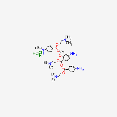 CCCCNc1ccc(C(=O)OCCN(C)C)cc1.CCCOc1cc(N)ccc1C(=O)OCCN(CC)CC.CCN(CC)CCOC(=O)c1ccc(N)cc1.Cl.Cl